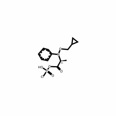 C[C@@H](C(=O)OP(=O)(O)Cl)N(OCC1CC1)c1ccccc1